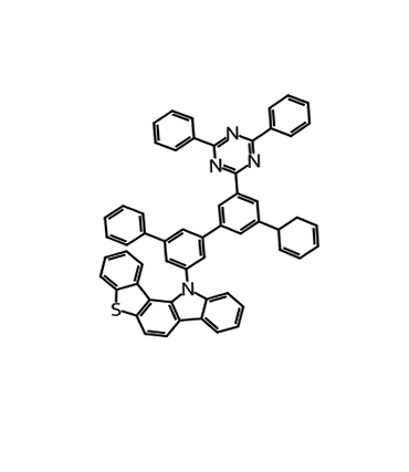 C1=CCC(c2cc(-c3cc(-c4ccccc4)cc(-n4c5ccccc5c5ccc6sc7ccccc7c6c54)c3)cc(-c3nc(-c4ccccc4)nc(-c4ccccc4)n3)c2)C=C1